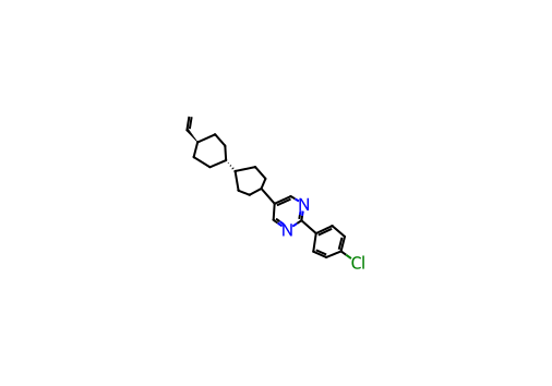 C=C[C@H]1CC[C@H](C2CCC(c3cnc(-c4ccc(Cl)cc4)nc3)CC2)CC1